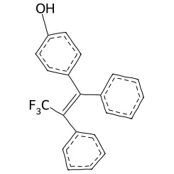 Oc1ccc(/C(=C(/c2ccccc2)C(F)(F)F)c2ccccc2)cc1